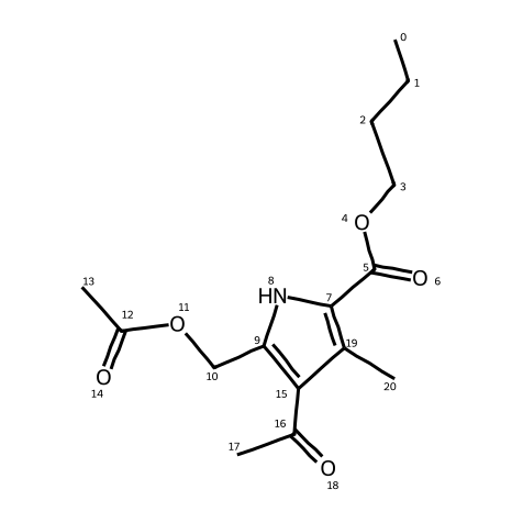 CCCCOC(=O)c1[nH]c(COC(C)=O)c(C(C)=O)c1C